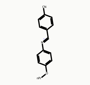 CCCOc1ccc(/N=C/c2ccc(C#N)cc2)cc1